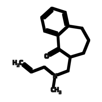 C=CCN(C)CC1CCCc2ccccc2C1=O